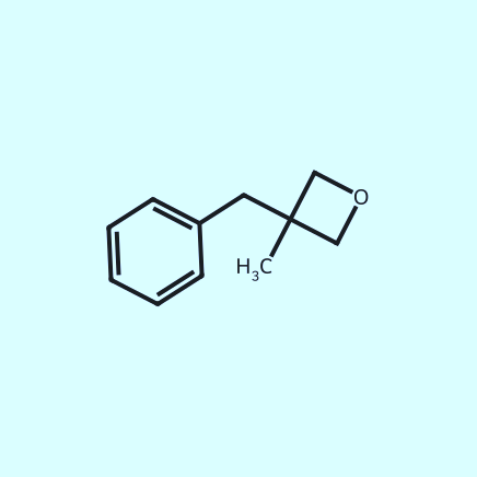 CC1(Cc2ccccc2)COC1